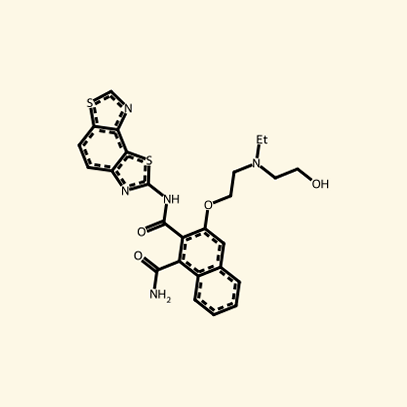 CCN(CCO)CCOc1cc2ccccc2c(C(N)=O)c1C(=O)Nc1nc2ccc3scnc3c2s1